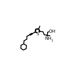 Cc1cc(C#CCCCC2CCCCC2)sc1CCC(C)(N)CO